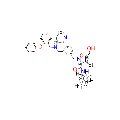 CC[C@@H]1[C@H](CO)ON(Cc2cccc(CN(Cc3ccccc3Oc3ccccc3)[C@@H](CC(C)C)CN(C)C)c2)[C@@H]1C(=O)N[C@H]1C[C@H]2C[C@@H]([C@@H]1C)C2(C)C